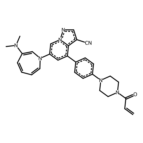 C=CC(=O)N1CCN(c2ccc(-c3cc(N4C=CC=CC(N(C)C)=C4)cn4ncc(C#N)c34)cc2)CC1